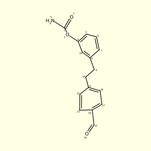 NC(=O)Oc1cccc(CCc2ccc(C=O)cc2)c1